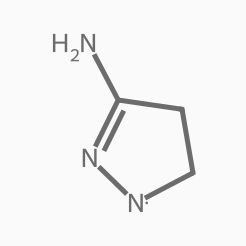 NC1=N[N]CC1